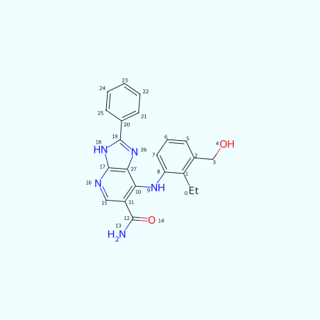 CCc1c(CO)cccc1Nc1c(C(N)=O)cnc2[nH]c(-c3ccccc3)nc12